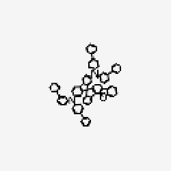 c1ccc(-c2ccc(N(c3cccc(-c4ccccc4)c3)c3ccc4c(c3)C3(c5cc(N(c6ccc(-c7ccccc7)cc6)c6cccc(-c7ccccc7)c6)ccc5-4)c4ccccc4-c4c3ccc3c4oc4ccccc43)cc2)cc1